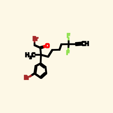 C#CC(F)(F)CCCCC(C)(C(=O)CBr)c1cccc(Br)c1